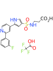 O=C(O)C(F)(F)F.O=C(O)CCNS(=O)(=O)c1c[nH]c(-c2ccnc(-c3cccc(F)c3)c2)c1